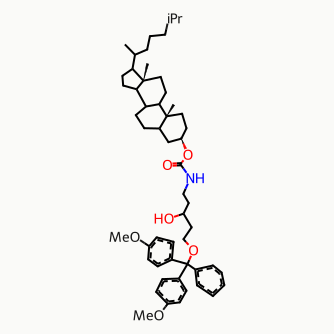 COc1ccc(C(OCCC(O)CCNC(=O)O[C@@H]2CC[C@]3(C)C(CCC4C5CCC(C(C)CCCC(C)C)[C@]5(C)CCC43)C2)(c2ccccc2)c2ccc(OC)cc2)cc1